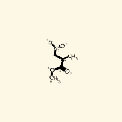 COC(=O)C(C)C[N+](=O)[O-]